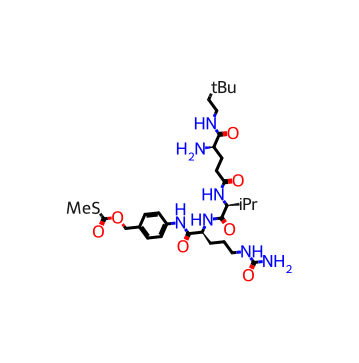 CSC(=O)OCc1ccc(NC(=O)[C@H](CCCNC(N)=O)NC(=O)[C@@H](NC(=O)CC[C@@H](N)C(=O)NCCC(C)(C)C)C(C)C)cc1